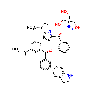 CC(C(=O)O)c1cccc(C(=O)c2ccccc2)c1.NC(CO)(CO)CO.O=C(c1ccccc1)c1ccc2n1CCC2C(=O)O.c1ccc2c(c1)CCN2